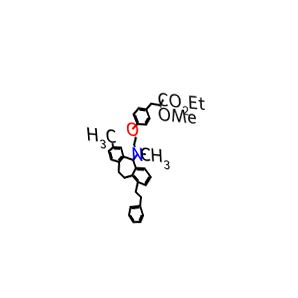 CCOC(=O)C(Cc1ccc(OCCN(C)C2c3cc(C)ccc3CCc3c(CCc4ccccc4)cccc32)cc1)OC